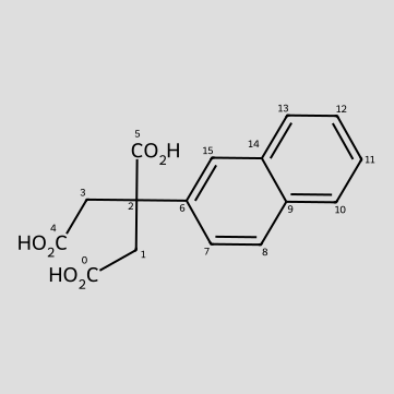 O=C(O)CC(CC(=O)O)(C(=O)O)c1ccc2ccccc2c1